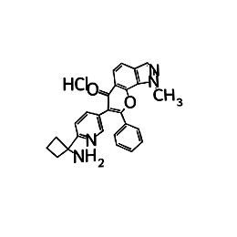 Cl.Cn1ncc2ccc3c(=O)c(-c4ccc(C5(N)CCC5)nc4)c(-c4ccccc4)oc3c21